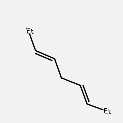 [CH2]C/C=C/C/C=C/CC